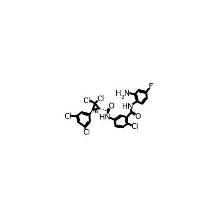 Nc1cc(F)ccc1NC(=O)c1cc(NC(=O)[C@@H]2[C@@H](c3cc(Cl)cc(Cl)c3)C2(Cl)Cl)ccc1Cl